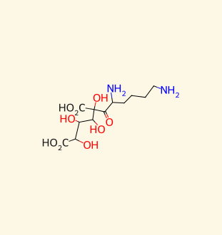 NCCCCC(N)C(=O)C(O)(C(=O)O)C(O)C(O)C(O)C(=O)O